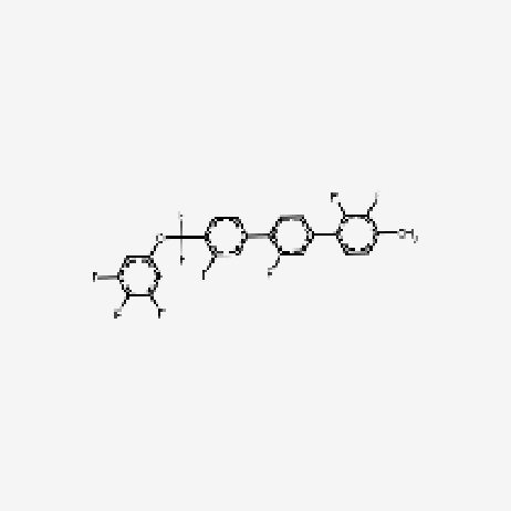 Cc1ccc(-c2ccc(-c3ccc(C(F)(F)Oc4cc(F)c(F)c(F)c4)c(F)c3)c(F)c2)c(F)c1F